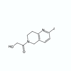 O=C(CO)N1CCc2nc(I)ccc2C1